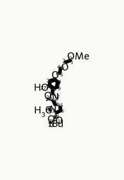 COCCOCCOc1ccc(C2=N[C@H]([C@@H]3CC[C@H](C(=O)OC(C)(C)C)N3C)CO2)c(O)c1